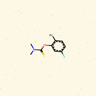 CC(=O)c1ccc(F)cc1OC(=S)N(C)C